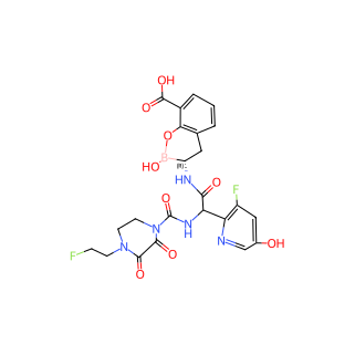 O=C(O)c1cccc2c1OB(O)[C@@H](NC(=O)C(NC(=O)N1CCN(CCF)C(=O)C1=O)c1ncc(O)cc1F)C2